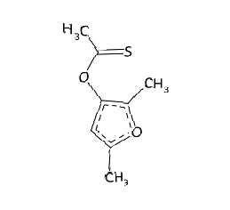 CC(=S)Oc1cc(C)oc1C